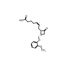 COc1ccccc1OC[C@H]1CC(=O)N1C/C=C\CCCC(=O)O